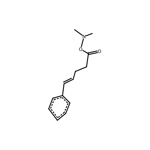 CN(C)OC(=O)CC/C=C/c1ccccc1